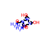 NC(=O)CCN(CCC(N)=O)CC[N+]1(CC[N+]2(CCC(N)=O)CC(O)C2)CC(O)C1